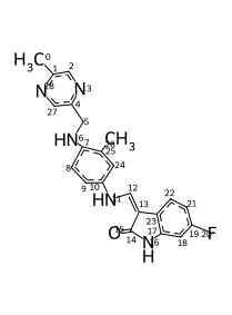 Cc1cnc(CNc2ccc(NC=C3C(=O)Nc4cc(F)ccc43)cc2C)cn1